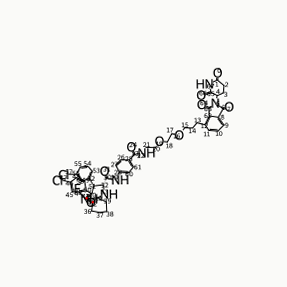 O=C1CCC(N2C(=O)c3cccc(CCCOCCOCCNC(=O)c4ccc(NC(=O)[C@@H]5NC6(CCCCC6)[C@@]6(C(=O)Nc7cc(Cl)ccc76)[C@H]5c5cccc(Cl)c5F)cc4)c3C2=O)C(=O)N1